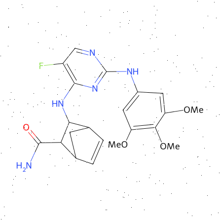 COc1cc(Nc2ncc(F)c(NC3C4C=CC(C4)C3C(N)=O)n2)cc(OC)c1OC